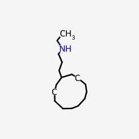 CCNCCCC1CCCCCCCCCCC1